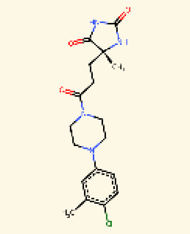 Cc1cc(N2CCN(C(=O)CC[C@@]3(C)NC(=O)NC3=O)CC2)ccc1Cl